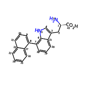 N[C@@H](Cc1c[nH]c2c(-c3cccc4ccccc34)cccc12)C(=O)O